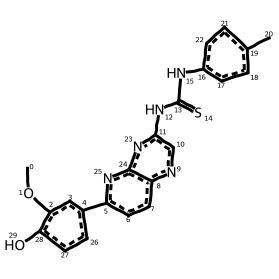 COc1cc(-c2ccc3ncc(NC(=S)Nc4ccc(C)cc4)nc3n2)ccc1O